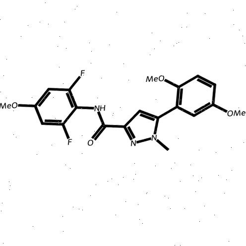 COc1cc(F)c(NC(=O)c2cc(-c3cc(OC)ccc3OC)n(C)n2)c(F)c1